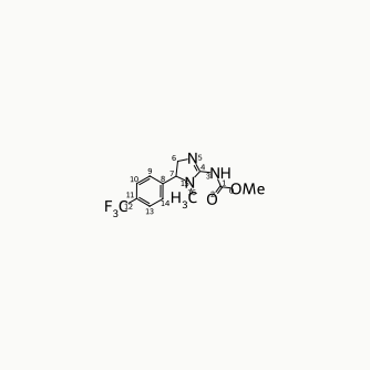 COC(=O)NC1=NCC(c2ccc(C(F)(F)F)cc2)N1C